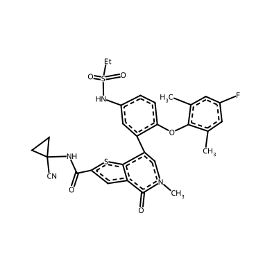 CCS(=O)(=O)Nc1ccc(Oc2c(C)cc(F)cc2C)c(-c2cn(C)c(=O)c3cc(C(=O)NC4(C#N)CC4)sc23)c1